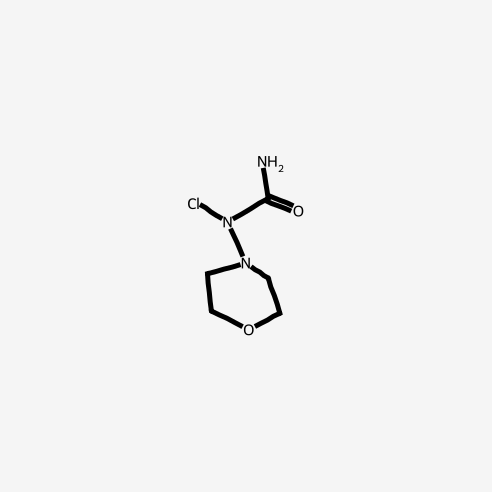 NC(=O)N(Cl)N1CCOCC1